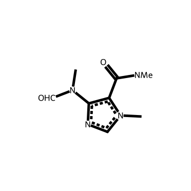 CNC(=O)c1c(N(C)C=O)ncn1C